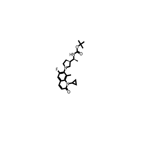 Cc1c(N2CC[C@@H]([C@H](C)NC(=O)OC(C)(C)C)C2)c(F)cc2ccc(=O)n(C3CC3)c12